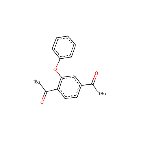 CC(C)(C)C(=O)c1ccc(C(=O)C(C)(C)C)c(Oc2ccccc2)c1